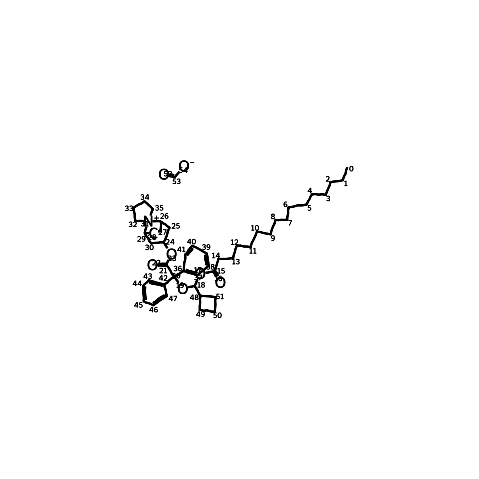 CCCCCCCCCCCCCCCC(=O)OC(OC(C(=O)OC1CC2CCC(C1)[N+]21CCCC1)(c1ccccc1)c1ccccc1)C1CCC1.O=C[O-]